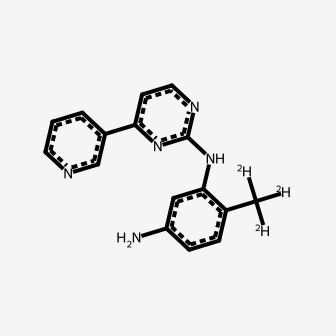 [2H]C([2H])([2H])c1ccc(N)cc1Nc1nccc(-c2cccnc2)n1